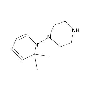 CC1(C)C=CC=CN1N1CCNCC1